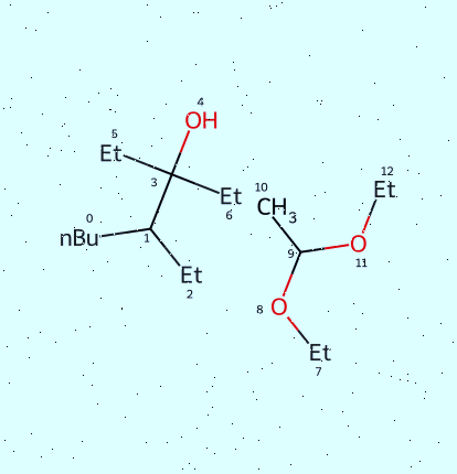 CCCCC(CC)C(O)(CC)CC.CCOC(C)OCC